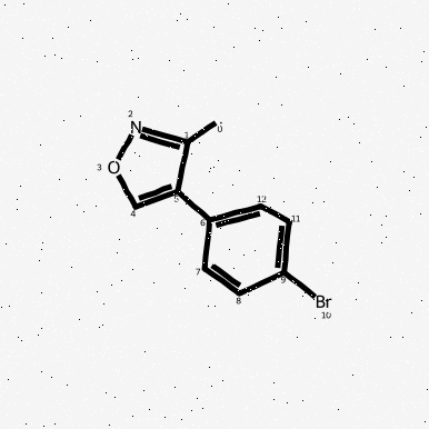 [CH2]c1nocc1-c1ccc(Br)cc1